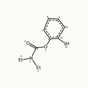 CCN(CC)C(=O)Oc1ccccc1S